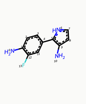 Nc1ccc(-c2[nH]ccc2N)cc1F